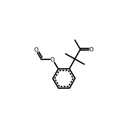 CC(=O)C(C)(C)c1ccccc1OC=O